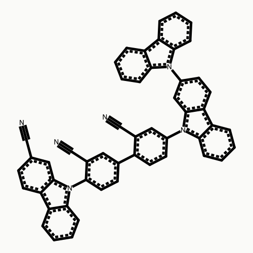 N#Cc1ccc2c3ccccc3n(-c3ccc(-c4ccc(-n5c6ccccc6c6ccc(-n7c8ccccc8c8ccccc87)cc65)cc4C#N)cc3C#N)c2c1